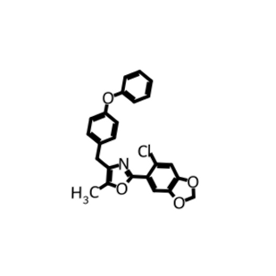 Cc1oc(-c2cc3c(cc2Cl)OCO3)nc1Cc1ccc(Oc2ccccc2)cc1